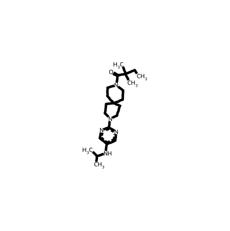 CCC(C)(C)C(=O)N1CCC2(CC1)CCN(c1ncc(NC(C)C)cn1)CC2